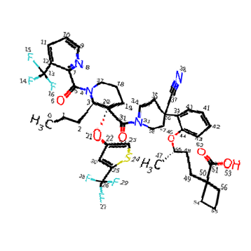 CCC[C@H]1N(C(=O)c2ncccc2C(F)(F)F)CCC[C@@]1(Oc1csc(C(F)(F)F)c1)C(=O)N1CCC(C#N)(c2ccccc2O[C@@H](C)CCC2(C(=O)O)CCC2)CC1